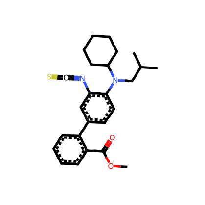 COC(=O)c1ccccc1-c1ccc(N(CC(C)C)C2CCCCC2)c(N=C=S)c1